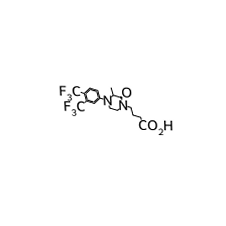 CC1C(=O)N(CCCC(=O)O)CCN1c1ccc(C(F)(F)F)c(C(F)(F)F)c1